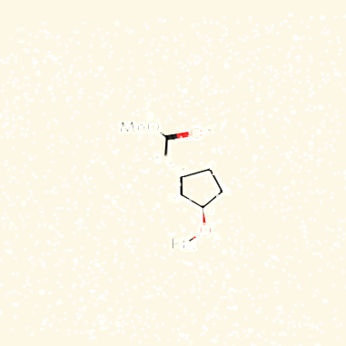 CCO[C@@H]1CC[C@@H](CC(=O)OC)C1